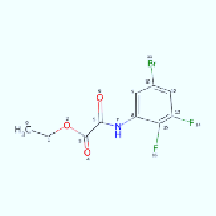 CCOC(=O)C(=O)Nc1cc(Br)cc(F)c1F